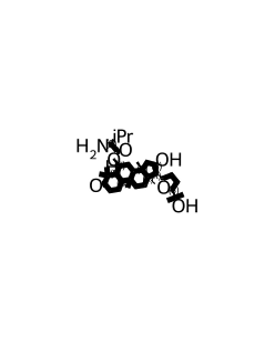 CC(C)[C@H](N)C(=O)O[C@H]1CC2C3(CC[C@]4(C)[C@@H](C5CC[C@@H](C(C)(C)O)O5)[C@@H](O)C[C@@]24C)C[C@@]32CCC(=O)C(C)(C)[C@H]12